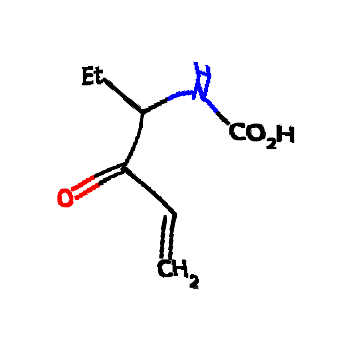 C=CC(=O)C(CC)NC(=O)O